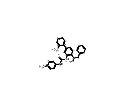 CCCN(Cc1ccccc1)c1ccc(-c2ccccc2C(=O)O)cc1NC(=O)Nc1ccc(C)cc1